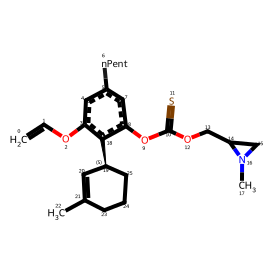 C=COc1cc(CCCCC)cc(OC(=S)OCC2CN2C)c1[C@@H]1C=C(C)CCC1